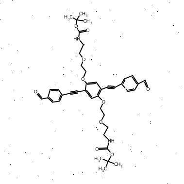 CC(C)(C)OC(=O)NCCOCCOc1cc(C#Cc2ccc(C=O)cc2)c(OCCOCCNC(=O)OC(C)(C)C)cc1C#Cc1ccc(C=O)cc1